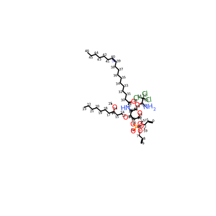 C=CCOP(=O)(OCC=C)O[C@@H]1[C@H](OCC[C@@H](CCCCCCC)OC)[C@@H](NC(=O)CCCCCCCCC/C=C\CCCCCC)[C@H](OC(N)C(Cl)(Cl)Cl)O[C@@H]1COC